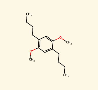 CCCCc1cc(OC)c(CCCC)cc1OC